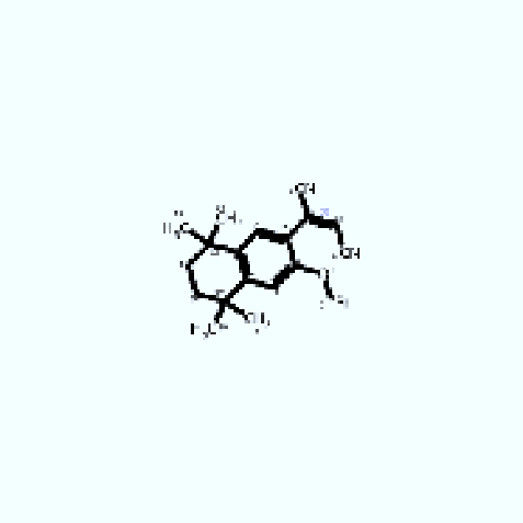 CCCOc1cc2c(cc1/C(C#N)=C\C#N)C(C)(C)CCC2(C)C